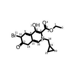 CCOC(=O)C1=C(O)C2=CC(Br)C(=O)CC2=CN1CC1CC1